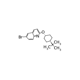 CC(C)(C)[C@H]1CC[C@H](Oc2ccc3cc(Br)ccc3n2)CC1